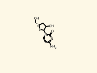 Nc1ccn(C2S[C@H](CO)CC2O)c(=O)n1